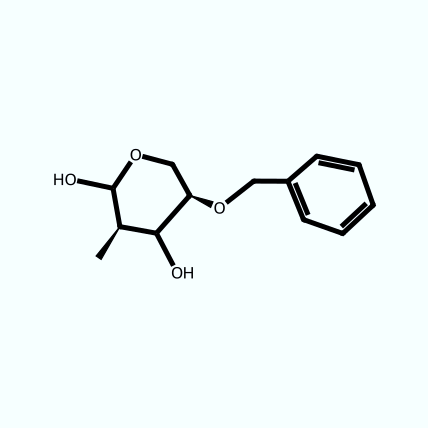 C[C@H]1C(O)OC[C@@H](OCc2ccccc2)C1O